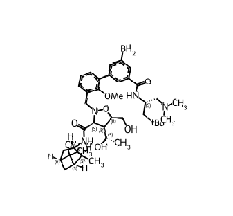 Bc1cc(C(=O)N[C@H](CN(C)C)CC(C)(C)C)cc(-c2cccc(CN3O[C@@H](CO)[C@@H]([C@H](C)O)[C@H]3C(=O)N[C@H]3C[C@H]4C[C@@H]([C@@H]3C)C4(C)C)c2OC)c1